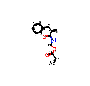 C=C(Cc1ccccc1)C(=O)NCOC(=O)CC(C)=O